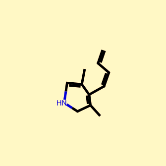 C=C/C=C\C1=C(C)CNC=C1C